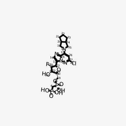 O=P(O)(O)CP(=O)(O)OC[C@H]1OC(c2cnc3c(N4CC5CCCC5C4)cc(Cl)nn23)[C@@H](F)[C@@H]1O